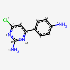 Nc1ccc(-c2cc(Cl)nc(N)n2)cc1